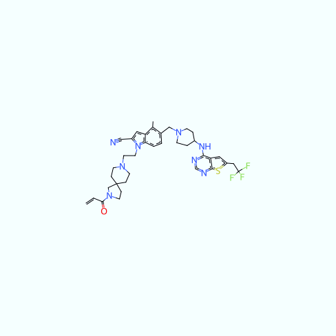 C=CC(=O)N1CCC2(CCN(CCn3c(C#N)cc4c(C)c(CN5CCC(Nc6ncnc7sc(CC(F)(F)F)cc67)CC5)ccc43)CC2)C1